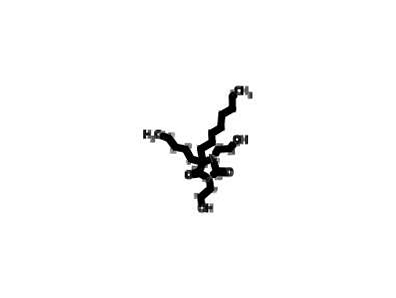 CCCCCCCCC1(CCCCC)C(=O)N(CCO)C(=O)N1CCO